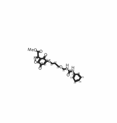 COC(=O)c1noc2c1C(=O)C(SCCCOCNC(=O)Nc1ccccc1)=CC2=O